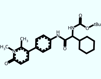 Cc1c(-c2ccc(NC(=O)C(NC(=O)OC(C)(C)C)C3CCCCC3)cc2)ccc(=O)n1C